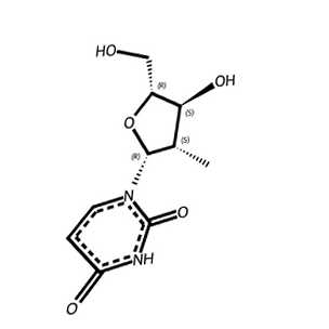 C[C@H]1[C@H](O)[C@@H](CO)O[C@H]1n1ccc(=O)[nH]c1=O